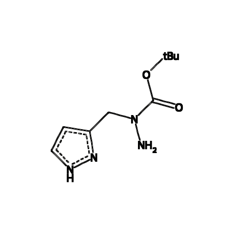 CC(C)(C)OC(=O)N(N)Cc1cc[nH]n1